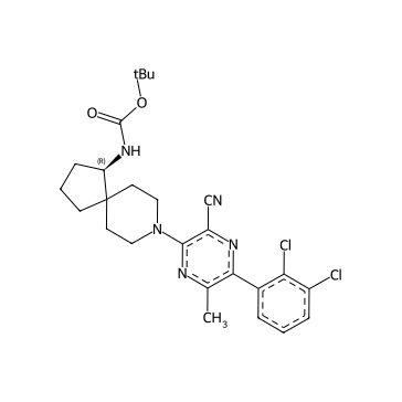 Cc1nc(N2CCC3(CCC[C@H]3NC(=O)OC(C)(C)C)CC2)c(C#N)nc1-c1cccc(Cl)c1Cl